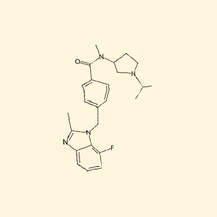 Cc1nc2cccc(F)c2n1Cc1ccc(C(=O)N(C)C2CCN(C(C)C)C2)cc1